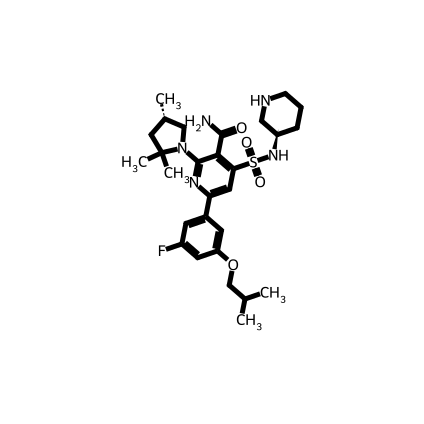 CC(C)COc1cc(F)cc(-c2cc(S(=O)(=O)N[C@@H]3CCCNC3)c(C(N)=O)c(N3C[C@@H](C)CC3(C)C)n2)c1